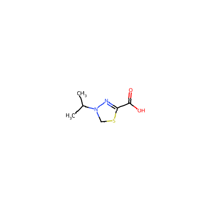 CC(C)N1CSC(C(=O)O)=N1